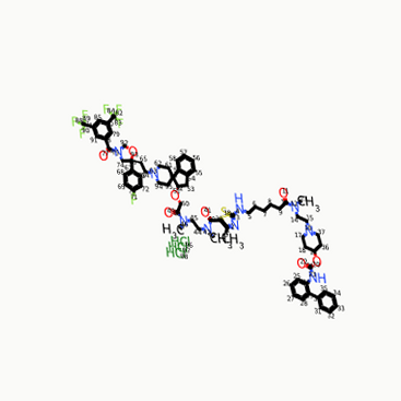 Cc1nc(NCCCCCC(=O)N(C)CCN2CCC(OC(=O)Nc3ccccc3-c3ccccc3)CC2)sc1C(=O)N(C)CCN(C)C(=O)CO[C@H]1Cc2ccccc2C12CCN(CC[C@@]1(c3ccc(F)cc3)CN(C(=O)c3cc(C(F)(F)F)cc(C(F)(F)F)c3)CO1)CC2.Cl.Cl.Cl